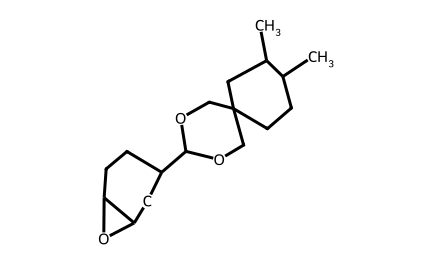 CC1CCC2(COC(C3CCC4OC4C3)OC2)CC1C